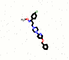 CON=C(CCN1CCN(c2ccc(OCc3ccccc3)cn2)CC1)c1ccc(Cl)cc1